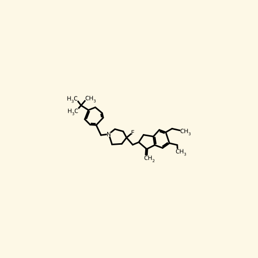 C=C1c2cc(CC)c(CC)cc2CC1CC1(F)CCN(CC2=CC=C(C(C)(C)C)CC=C2)CC1